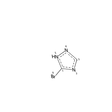 Brc1n[c]n[nH]1